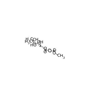 CCCOC(=O)c1ccc(C(=O)OCCCSCC(O)C(O)CSC(C)(C)C)cc1